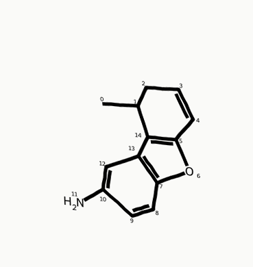 CC1CC=Cc2oc3ccc(N)cc3c21